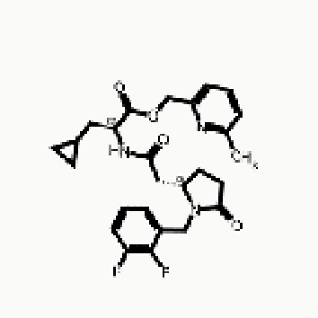 Cc1cccc(COC(=O)[C@H](CC2CC2)NC(=O)C[C@@H]2CCC(=O)N2Cc2cccc(F)c2F)n1